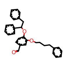 O=Cc1ccc(OC(Cc2ccccc2)c2ccccc2)c(OCCCCc2ccccc2)c1